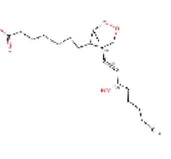 CCCCC[C@H](O)/C=C/[C@@H]1C2CC(OO2)C1CCCCCCC(=O)O